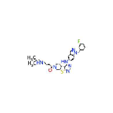 CC(C)CNC/C=C/C(=O)N1CCc2c(sc3ncnc(Nc4ccc5c(cnn5Cc5cccc(F)c5)c4)c23)C1